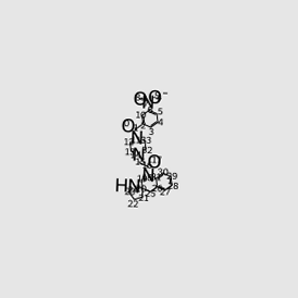 O=C(c1cccc([N+](=O)[O-])c1)N1CCN(CC(=O)N2CC3(CCCN3)Cc3ccccc32)CC1